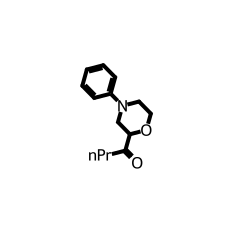 CCCC(=O)C1CN(c2ccccc2)CCO1